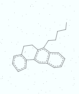 CCCCCc1c2c(cc3ccccc13)-c1ccccc1CC2